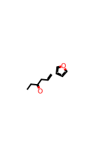 C=CCC(=O)CC.c1ccoc1